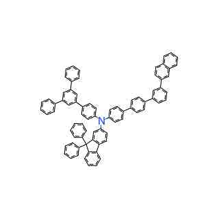 c1ccc(-c2cc(-c3ccccc3)cc(-c3ccc(N(c4ccc(-c5ccc(-c6cccc(-c7ccc8ccccc8c7)c6)cc5)cc4)c4ccc5c(c4)C(c4ccccc4)(c4ccccc4)c4ccccc4-5)cc3)c2)cc1